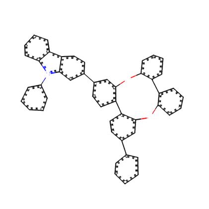 c1ccc(-c2ccc3c(c2)Oc2ccccc2-c2ccccc2Oc2cc(-c4ccc5c6ccccc6n(-c6ccccc6)c5c4)ccc2-3)cc1